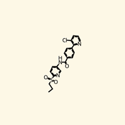 CCCS(=O)(=O)c1ccc(NC(=O)c2ccc(-c3ncccc3Cl)cc2)cn1